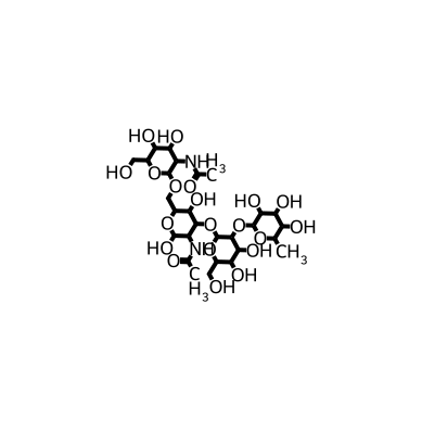 CC(=O)NC1C(OCC2OC(O)C(NC(C)=O)C(OC3OC(CO)C(O)C(O)C3OC3OC(C)C(O)C(O)C3O)C2O)OC(CO)C(O)C1O